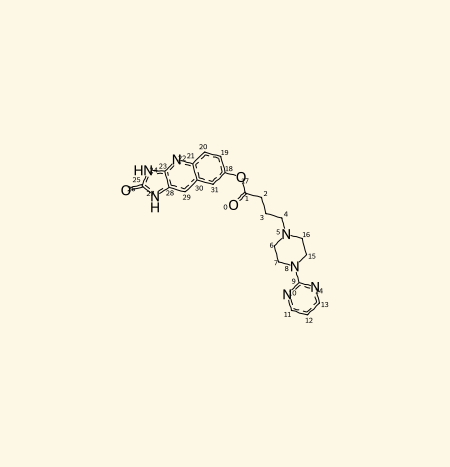 O=C(CCCN1CCN(c2ncccn2)CC1)Oc1ccc2nc3[nH]c(=O)[nH]c3cc2c1